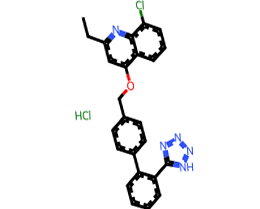 CCc1cc(OCc2ccc(-c3ccccc3-c3nnn[nH]3)cc2)c2cccc(Cl)c2n1.Cl